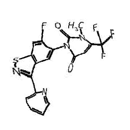 Cn1c(C(F)(F)F)cc(=O)n(-c2cc3c(-c4ccccn4)nsc3cc2F)c1=O